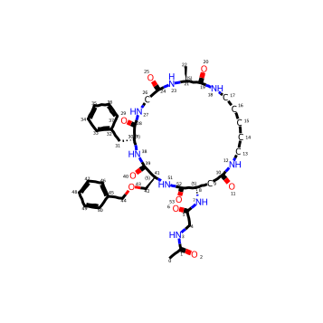 CC(=O)NCC(=O)N[C@H]1CC(=O)NCCCCCNC(=O)[C@H](C)NC(=O)CNC(=O)[C@@H](Cc2ccccc2)NC(=O)[C@H](COCc2ccccc2)NC1=O